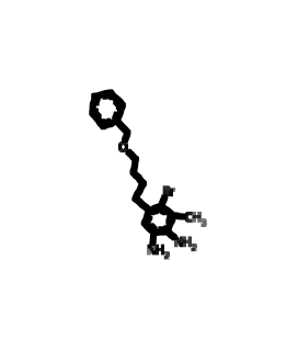 Cc1c(N)c(N)cc(CCCCOCc2ccccc2)c1Br